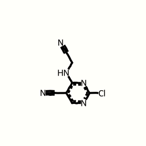 N#CCNc1nc(Cl)ncc1C#N